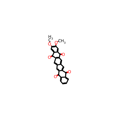 COc1cc2c(=O)c3cc4cc5c(=O)c6ccccc6c(=O)c5cc4cc3c(=O)c2cc1OC